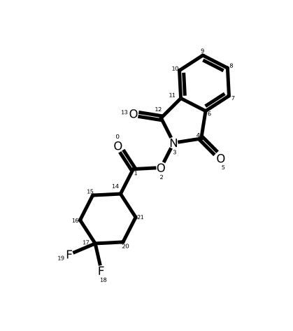 O=C(ON1C(=O)c2ccccc2C1=O)C1CCC(F)(F)CC1